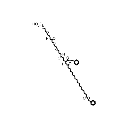 O=C(O)COCCOCCNC(=O)COCCOCCNC(=O)CCC(NC(=O)CCCCCCCCCCCCCCCCC(=O)OCc1ccccc1)C(=O)OCc1ccccc1